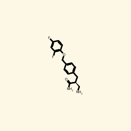 NC[C@H](Cc1ccc(COc2ccc(F)cc2F)cc1)C(N)=O